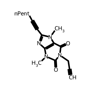 C#CCn1c(=O)c2c(nc(C#CCCCCC)n2C)n(C)c1=O